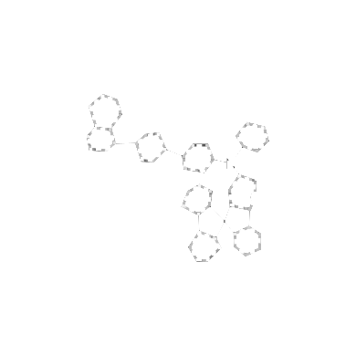 c1ccc(N(c2ccc(-c3ccc(-c4cccc5ccccc45)cc3)cc2)c2ccc3c(c2)C2(c4ccccc4-c4ccccc42)c2ccccc2-3)cc1